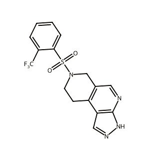 O=S(=O)(c1ccccc1C(F)(F)F)N1CCc2c(cnc3[nH]ncc23)C1